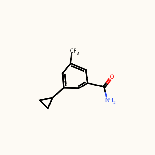 NC(=O)c1cc(C2CC2)cc(C(F)(F)F)c1